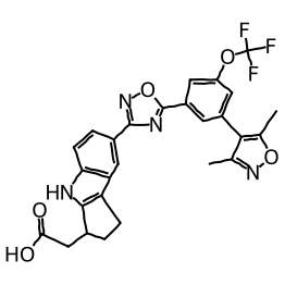 Cc1noc(C)c1-c1cc(OC(F)(F)F)cc(-c2nc(-c3ccc4[nH]c5c(c4c3)CCC5CC(=O)O)no2)c1